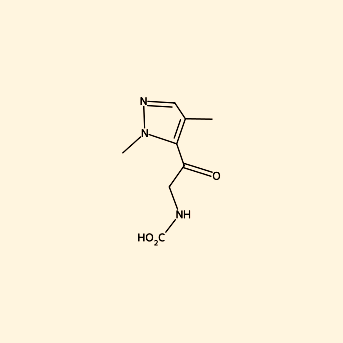 Cc1cnn(C)c1C(=O)CNC(=O)O